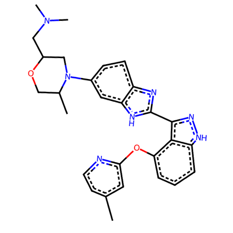 Cc1ccnc(Oc2cccc3[nH]nc(-c4nc5ccc(N6CC(CN(C)C)OCC6C)cc5[nH]4)c23)c1